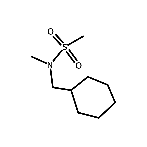 CN(CC1CCCCC1)S(C)(=O)=O